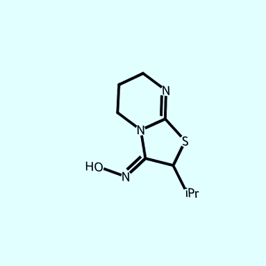 CC(C)C1SC2=NCCCN2C1=NO